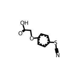 N#CSc1ccc(OCC(=O)O)cc1